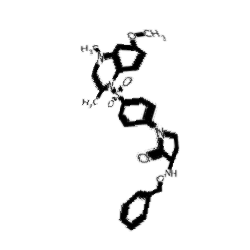 COc1ccc2c(c1)N(C)CC(C)N2S(=O)(=O)c1ccc(N2CCC(NOCc3ccccc3)C2=O)cc1